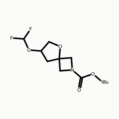 CC(C)(C)OC(=O)N1CC2(CC(OC(F)F)CO2)C1